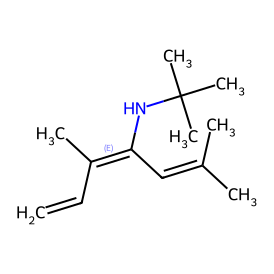 C=C/C(C)=C(\C=C(C)C)NC(C)(C)C